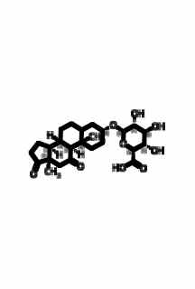 C[C@]12CC[C@@H](O[C@@H]3O[C@H](C(=O)O)[C@@H](O)[C@H](O)[C@H]3O)CC1CC[C@@H]1[C@@H]2C(=O)C[C@]2(C)C(=O)CC[C@@H]12